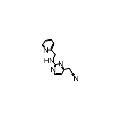 N#CCc1ccnc(NCc2ccccn2)n1